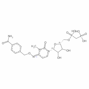 Cn1c(=O)n([C@@H]2O[C@H](COP(=O)(O)CP(=O)(O)O)C(O)C2O)cc/c1=N/OCc1ccc(C(N)=O)cc1